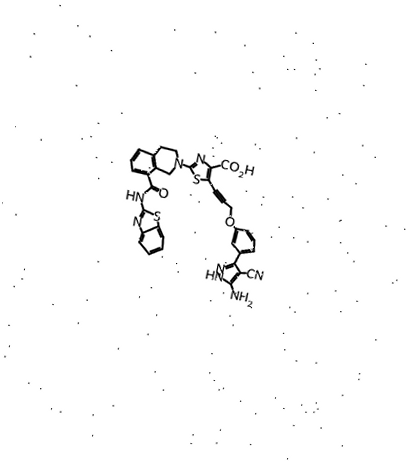 N#Cc1c(-c2cccc(OCC#Cc3sc(N4CCc5cccc(C(=O)Nc6nc7ccccc7s6)c5C4)nc3C(=O)O)c2)n[nH]c1N